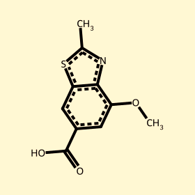 COc1cc(C(=O)O)cc2sc(C)nc12